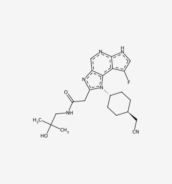 CC(C)(O)CNC(=O)Cc1nc2cnc3[nH]cc(F)c3c2n1[C@H]1CC[C@H](CC#N)CC1